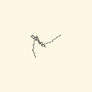 CCCCCCCCCCCCc1cc(C)ccc1S(=O)(=O)OOOS(=O)(=O)c1ccc(C)cc1CCCCCCCCCCCC